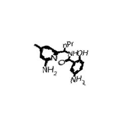 CCCC(NC(=O)c1cc(N)ccc1O)c1cc(C)cc(N)n1